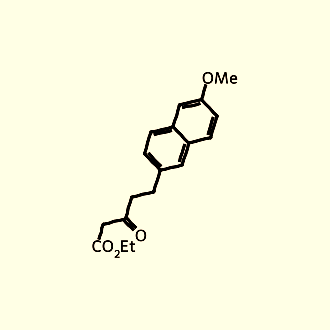 CCOC(=O)CC(=O)CCc1ccc2cc(OC)ccc2c1